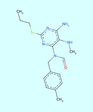 CCCSc1nc(N)c(NC)c(N(C=O)Cc2ccc(C)cc2)n1